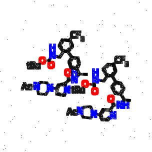 CC(=O)N1CCN(c2ccnc(C(=O)N[C@H](C)c3ccc(-c4cc(C(F)(F)F)ccc4CNC(=O)OC(C)(C)C)cc3)c2)CC1.CC(=O)N1CCN(c2ccnc(C(=O)N[C@H](C)c3ccc(-c4cc(C(F)(F)F)ccc4CNC(=O)OC(C)(C)C)cc3)c2)CC1